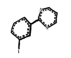 Ic1cccc(-c2ncccn2)c1